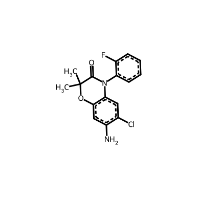 CC1(C)Oc2cc(N)c(Cl)cc2N(c2ccccc2F)C1=O